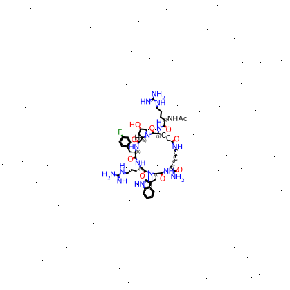 CC(=O)N[C@@H](CCCNC(=N)N)C(=O)N[C@H]1CCC(=O)NCCC[C@@H](C(N)=O)NC(=O)[C@H](Cc2c[nH]c3ccccc23)NC(=O)[C@H](CCCNC(=N)N)NC(=O)[C@@H](Cc2ccc(F)cc2)NC(=O)[C@@H]2CC(O)CN2C1=O